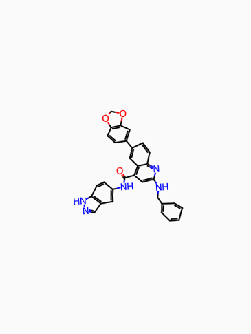 O=C(Nc1ccc2[nH]ncc2c1)c1cc(NCc2ccccc2)nc2ccc(-c3ccc4c(c3)OCO4)cc12